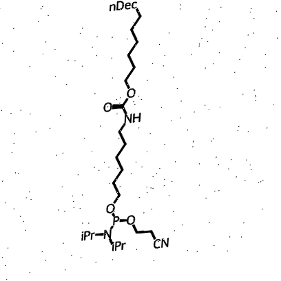 CCCCCCCCCCCCCCCCOC(=O)NCCCCCCOP(OCCC#N)N(C(C)C)C(C)C